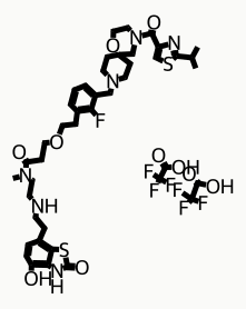 CC(C)c1nc(C(=O)N2CCOC3(CCN(Cc4cccc(CCOCCC(=O)N(C)CCNCCc5ccc(O)c6[nH]c(=O)sc56)c4F)CC3)C2)cs1.O=C(O)C(F)(F)F.O=C(O)C(F)(F)F